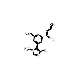 C=CN=C(C)[C@@H]1CC(c2c(CC)ncn2C)=CC(NC)=N1